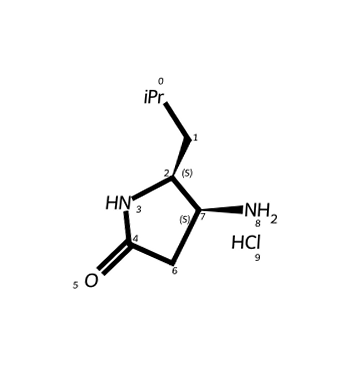 CC(C)C[C@@H]1NC(=O)C[C@@H]1N.Cl